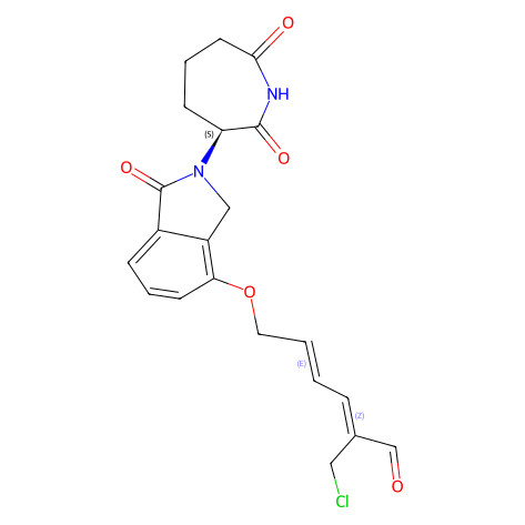 O=C/C(=C/C=C/COc1cccc2c1CN([C@H]1CCCC(=O)NC1=O)C2=O)CCl